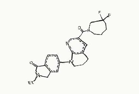 CCN1Cc2cc(N3CCCc4cc(C(=O)N5CCCC(F)(F)C5)cnc43)ccc2C1=O